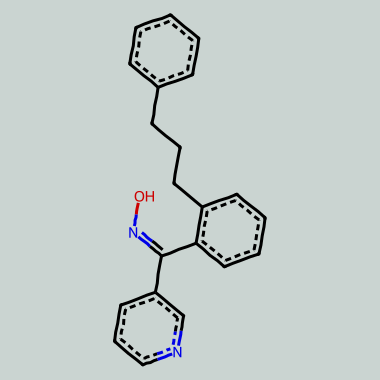 ON=C(c1cccnc1)c1ccccc1CCCc1ccccc1